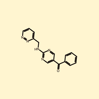 O=C(c1ccccc1)c1cnc(NCc2cccnn2)nc1